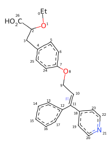 CCOC(Cc1ccc(OC/C=C(\c2ccccc2)c2ccncc2)cc1)C(=O)O